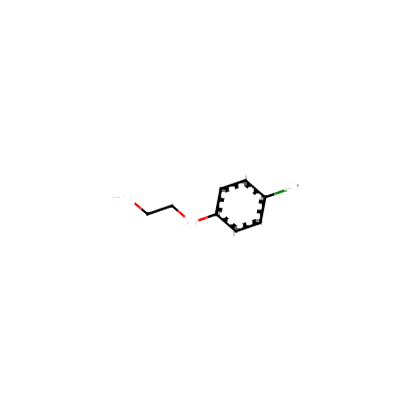 O[CH]COc1ccc(F)cc1